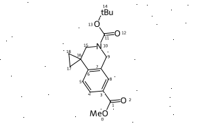 COC(=O)c1ccc2c(c1)CN(C(=O)OC(C)(C)C)CC21CC1